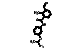 Cc1c(C=O)cccc1C(=O)Nc1cccc(OC(C)C)c1